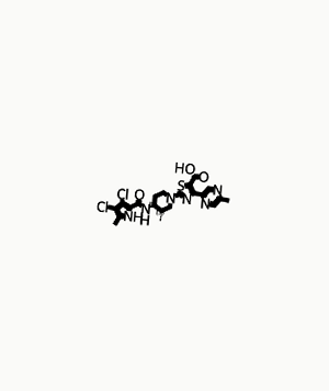 Cc1cnc(-c2nc(N3CC[C@@H](NC(=O)c4[nH]c(C)c(Cl)c4Cl)[C@@H](C)C3)sc2C(=O)O)cn1